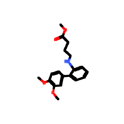 COC(=O)CCCNc1ccccc1-c1ccc(OC)c(OC)c1